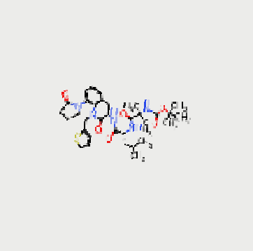 CC(C)C[C@@H](NC(=O)C(C)(C)NC(=O)OC(C)(C)C)C(=O)NC1Cc2cccc(N3CCCC3=O)c2N(Cc2cccs2)C1=O